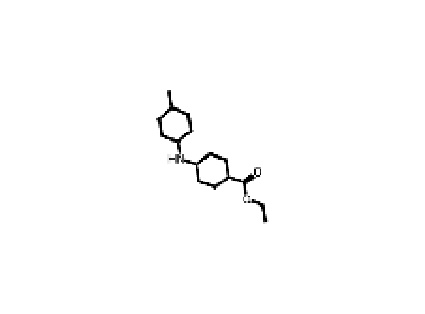 CCOC(=O)C1CCC(NC2CCC(C)CC2)CC1